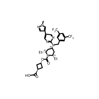 CC[C@@H]1C[C@H](N(Cc2cc(C(F)(F)F)cc(C(F)(F)F)c2)c2ncc(-c3cnn(C)c3)cn2)C[C@H](CC)N1C(=O)O[C@H]1C[C@H](C2OC2O)C1